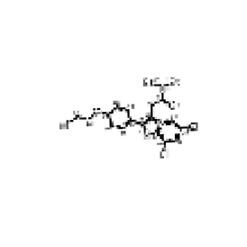 CCN(CC)C(=O)Cc1c(-c2ccc(OCCF)cc2)nc2c(Cl)cc(Cl)cn12